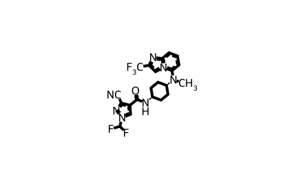 CN(c1cccc2nc(C(F)(F)F)cn12)[C@H]1CC[C@@H](NC(=O)c2cn(C(F)F)nc2C#N)CC1